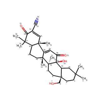 CC1(C)CC[C@]2(CO)CC[C@@]3(C)[C@]4(C)CCC5C(C)(C)C(=O)C(C#N)=C[C@]5(C)C4=CC(=O)[C@]3(O)C2C1